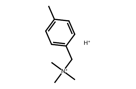 Cc1ccc(C[N+](C)(C)C)cc1.[H+]